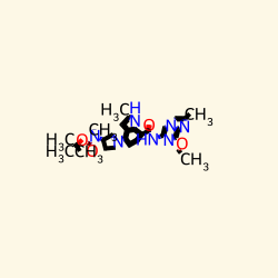 CCOc1nc(NC(=O)c2ccc(N3CCC(N(C)C(=O)OC(C)(C)C)C3)c3cc(C)[nH]c23)cn2cc(C)nc12